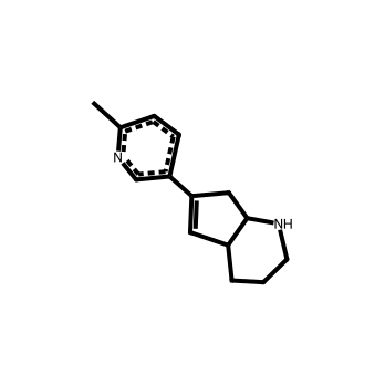 Cc1ccc(C2=CC3CCCNC3C2)cn1